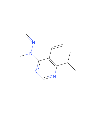 C=Cc1c(C(C)C)ncnc1N(C)N=C